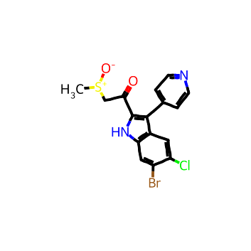 C[S+]([O-])CC(=O)c1[nH]c2cc(Br)c(Cl)cc2c1-c1ccncc1